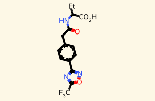 CCC(NC(=O)Cc1ccc(-c2noc(C(F)(F)F)n2)cc1)C(=O)O